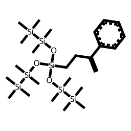 C=C(CC[Si](O[Si](C)(C)[Si](C)(C)C)(O[Si](C)(C)[Si](C)(C)C)O[Si](C)(C)[Si](C)(C)C)c1ccccc1